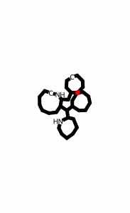 C1CCCC(CC2NCCCCCCCC2C(C2CCCCCCC2)C2CCCCCCN2)CCC1